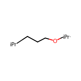 C[C](C)OCCCC(C)C